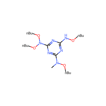 CCCCONc1nc(N(C)OCCCC)nc(N(OCCCC)OCCCC)n1